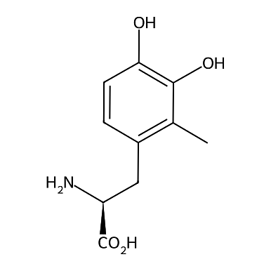 Cc1c(C[C@H](N)C(=O)O)ccc(O)c1O